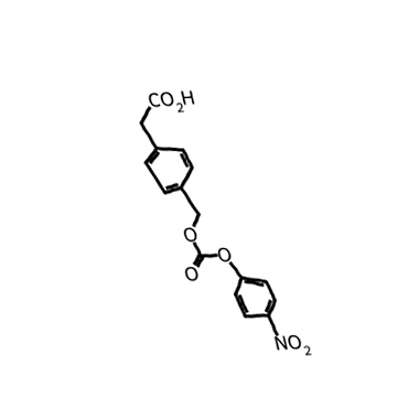 O=C(O)Cc1ccc(COC(=O)Oc2ccc([N+](=O)[O-])cc2)cc1